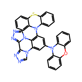 c1ccc2c(c1)Oc1ccccc1N2c1cc(N2c3ccccc3Sc3ccccc32)c2c(c1)n1cnnc1c1nncn12